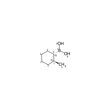 C[C@H]1CCCC[C@@H]1B(O)O